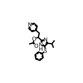 CC(=O)OC(Cc1ccncc1)c1nc(C(C)C)c(Sc2ccccc2)[nH]1